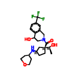 C[C@H](O)[C@]1(C(=O)N2Cc3cc(C(F)(F)F)ccc3C(O)C2)CC[C@@H](NC2CCOCC2)C1